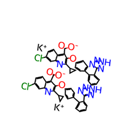 O=C([O-])c1c(Oc2ccc(-c3ccccc3-c3nn[nH]n3)cc2)c(C2CC2)nc2cc(Cl)ccc12.O=C([O-])c1c(Oc2ccc(-c3ccccc3-c3nn[nH]n3)cc2)c(C2CC2)nc2cc(Cl)ccc12.[K+].[K+]